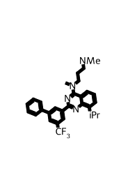 CNCCCN(C)c1nc(-c2cc(-c3ccccc3)cc(C(F)(F)F)c2)nc2c(C(C)C)cccc12